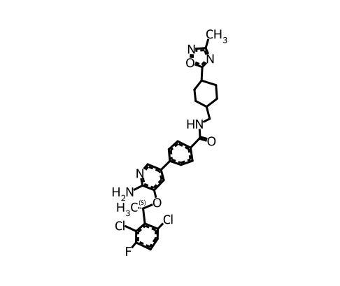 Cc1noc(C2CCC(CNC(=O)c3ccc(-c4cnc(N)c(O[C@@H](C)c5c(Cl)ccc(F)c5Cl)c4)cc3)CC2)n1